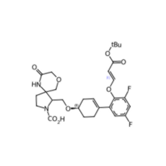 CC(C)(C)OC(=O)/C=C/Oc1c(F)cc(F)cc1C1=CC[C@H](OCC2N(C(=O)O)CCC23COCC(=O)N3)CC1